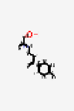 C=C(CC/C=C(\C)CO)[C@@H]1CC=C(C)CC1